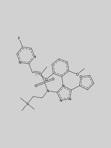 COc1cccc(OC)c1-n1c(-c2ccco2)nnc1N(CC[Si](C)(C)C)S(=O)(=O)/C(C)=C/c1ncc(F)cn1